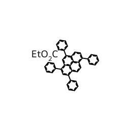 CCOC(=O)c1ccccc1-c1cc2c(-c3ccccc3)cc(-c3ccccc3)c3ccc4c(-c5ccccc5)ccc1c4c32